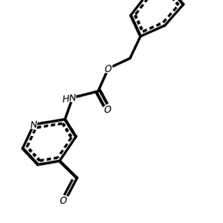 O=Cc1ccnc(NC(=O)OCc2ccccc2)c1